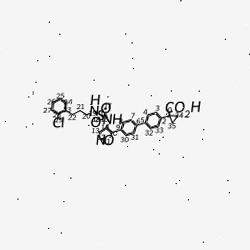 O=C(O)C1(c2ccc(-c3ccc(-c4oncc4NS(=O)(=O)NCCCc4ccccc4Cl)cc3)cc2)CC1